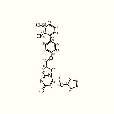 O=c1cc(COC2CCCC2)n2c(n1)OC(COc1ccc(-c3cccc(Cl)c3Cl)cc1)C2